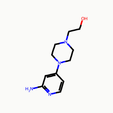 Nc1cc(N2CCN(CCO)CC2)ccn1